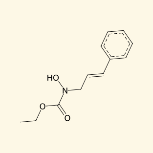 CCOC(=O)N(O)CC=Cc1ccccc1